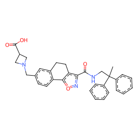 CC(CNC(=O)c1noc2c1CCc1cc(CN3CC(C(=O)O)C3)ccc1-2)(c1ccccc1)c1ccccc1